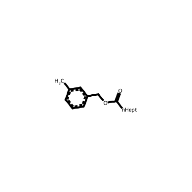 CCCCCCCC(=O)OCc1cccc(C)c1